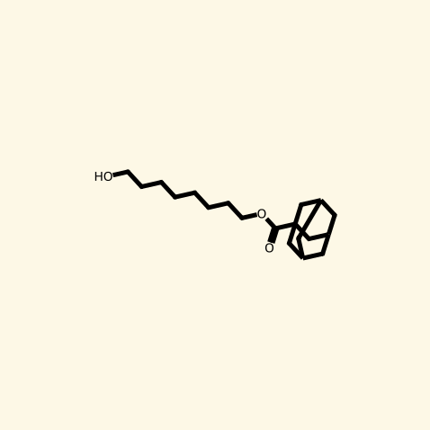 O=C(OCCCCCCCCO)C12CC3CC(CC(C3)C1)C2